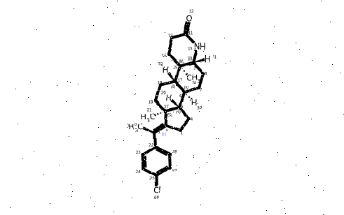 C/C(=C1/CC[C@H]2[C@@H]3CC[C@H]4NC(=O)CC[C@]4(C)[C@H]3CC[C@]12C)c1ccc(Cl)cc1